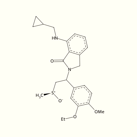 CCOc1cc(C(C[S@+](C)[O-])N2Cc3cccc(NCC4CC4)c3C2=O)ccc1OC